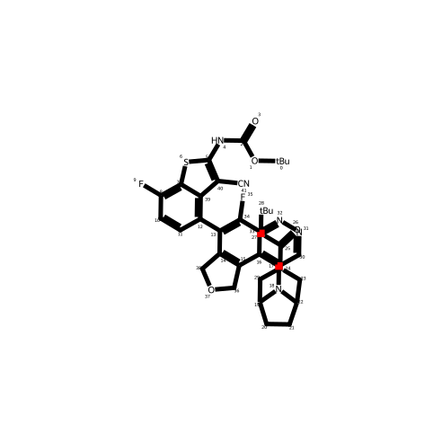 CC(C)(C)OC(=O)Nc1sc2c(F)ccc(-c3c4c(c5c(N6C7CCC6CN(C(=O)OC(C)(C)C)C7)cnnc5c3F)COC4)c2c1C#N